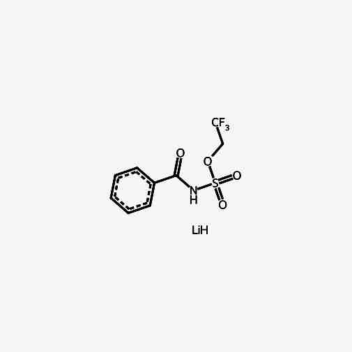 O=C(NS(=O)(=O)OCC(F)(F)F)c1ccccc1.[LiH]